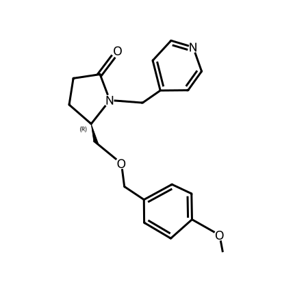 COc1ccc(COC[C@H]2CCC(=O)N2Cc2ccncc2)cc1